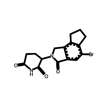 O=C1CCC(N2Cc3c(cc(Br)c4c3CCC4)C2=O)C(=O)N1